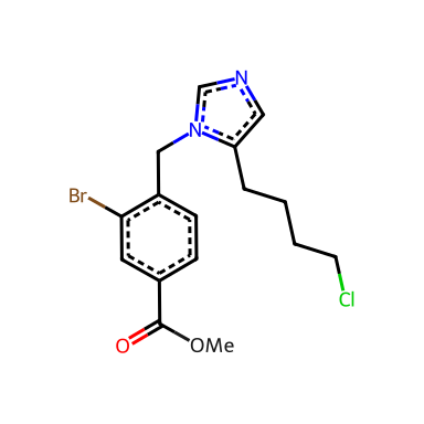 COC(=O)c1ccc(Cn2cncc2CCCCCl)c(Br)c1